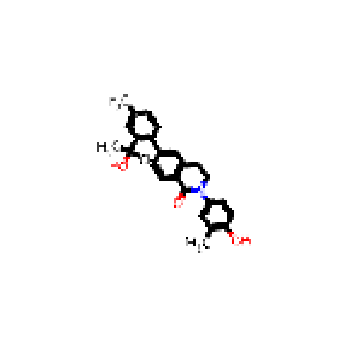 Cc1cc(N2CCc3cc(-c4ccc(C(F)(F)F)cc4C(C)(C)O)ccc3C2=O)ccc1O